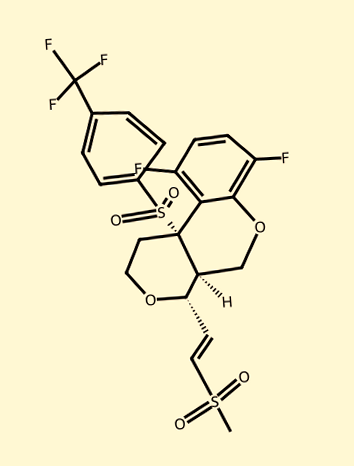 CS(=O)(=O)C=C[C@@H]1OCC[C@@]2(S(=O)(=O)c3ccc(C(F)(F)F)cc3)c3c(F)ccc(F)c3OC[C@@H]12